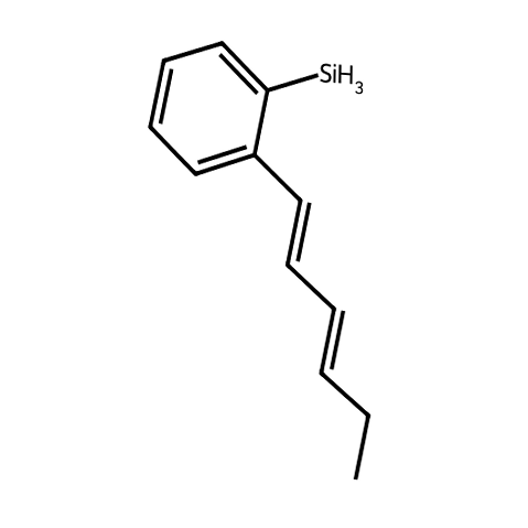 CCC=CC=Cc1ccccc1[SiH3]